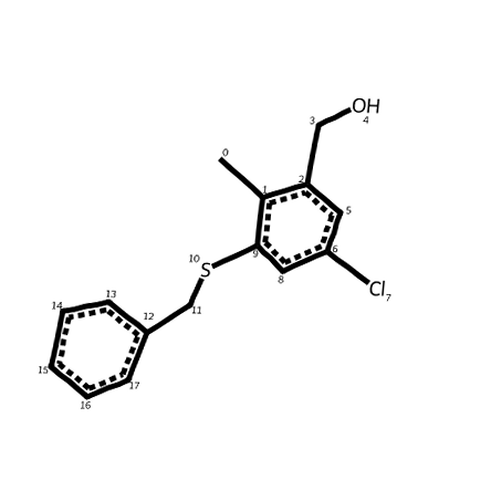 Cc1c(CO)cc(Cl)cc1SCc1ccccc1